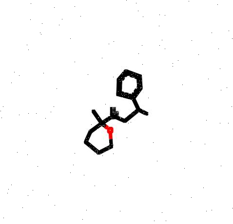 CC(C[SiH2]C1(C)CCCCO1)c1ccccc1